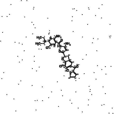 CCN(CC)c1nc(N)c(C(=O)NC(N)=NC(=O)C2Cc3cc(C(=O)c4cccs4)c(Cl)c(Cl)c3O2)nc1Cl